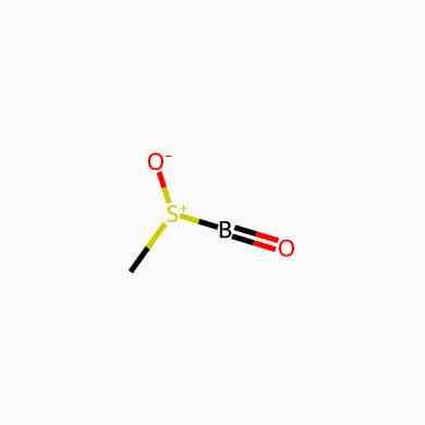 C[S+]([O-])B=O